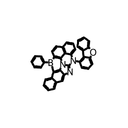 c1ccc(B2c3c4ccccc4cc4nc5n(-c6cccc7oc8ccccc8c67)c6cccc7ccc2c(c76)n5c34)cc1